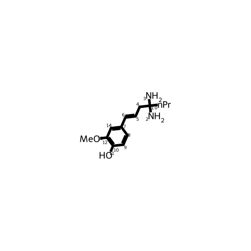 CCCC(N)(N)CC=Cc1ccc(O)c(OC)c1